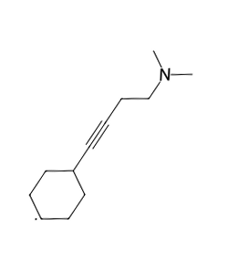 CN(C)CCC#CC1CC[CH]CC1